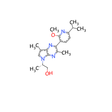 COc1nc(C(C)C)ccc1-c1nc2c(C)cn([C@@H](C)CO)c2nc1C